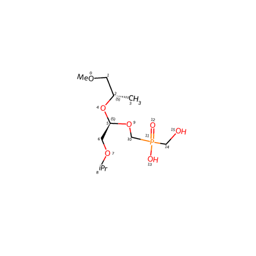 COC[C@H](C)O[C@H](COC(C)C)OCP(=O)(O)CO